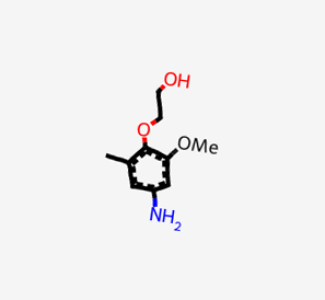 COc1cc(N)cc(C)c1OCCO